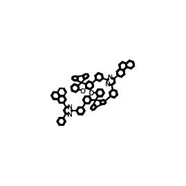 C1=Cc2cc(-c3cc(-c4ccccc4)nc(-c4cccc(-c5ccc6c(c5)C5(c7ccccc7O6)c6ccccc6-c6ccc(-c7cccc(-c8cc(-c9ccc%10c(ccc%11ccccc%11%10)c9)nc(-c9cccc(-c%10ccc%11c(c%10)C%10(c%12ccccc%12O%11)c%11ccccc%11-c%11ccccc%11%10)c9)n8)c7)cc65)c4)n3)cc3cccc(c23)C1